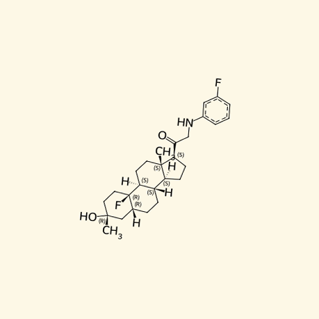 C[C@@]1(O)CC[C@@]2(F)[C@H](CC[C@H]3[C@@H]4CC[C@H](C(=O)CNc5cccc(F)c5)[C@@]4(C)CC[C@@H]32)C1